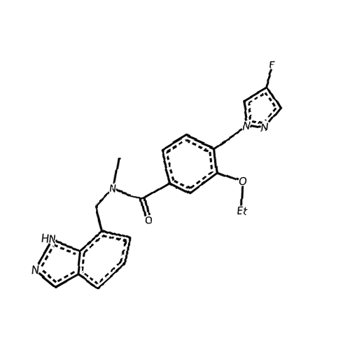 CCOc1cc(C(=O)N(C)Cc2cccc3cn[nH]c23)ccc1-n1cc(F)cn1